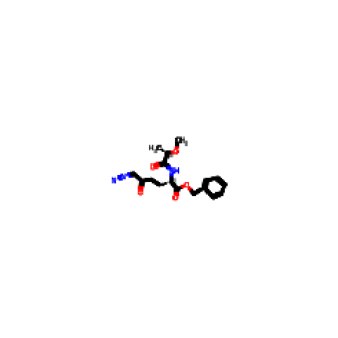 CO[C@@H](C)C(=O)N[C@@H](CCC(=O)C=[N+]=[N-])C(=O)OCc1ccccc1